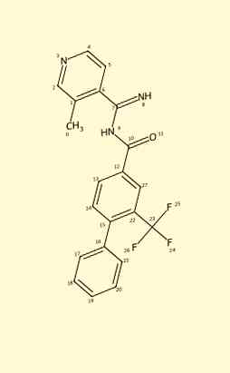 Cc1cnccc1C(=N)NC(=O)c1ccc(-c2ccccc2)c(C(F)(F)F)c1